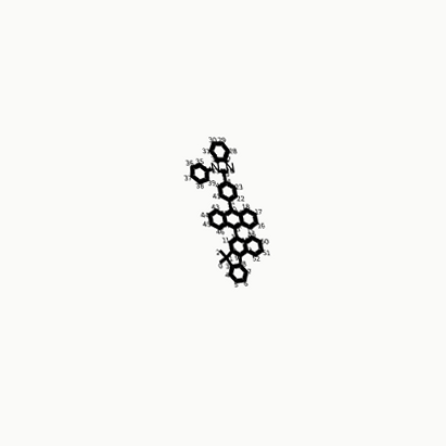 CC1(C)c2ccccc2-c2c1cc(-c1c3ccccc3c(-c3ccc(-c4nc5ccccc5n4-c4ccccc4)cc3)c3ccccc13)c1ccccc21